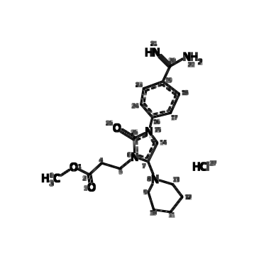 COC(=O)CCn1c(N2CCCCC2)cn(-c2ccc(C(=N)N)cc2)c1=O.Cl